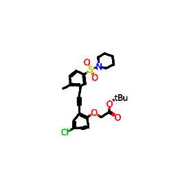 Cc1ccc(S(=O)(=O)N2CCCCC2)cc1C#Cc1cc(Cl)ccc1OCC(=O)OC(C)(C)C